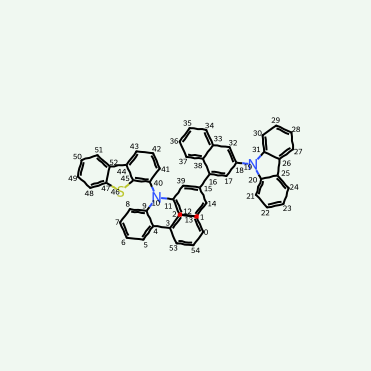 c1ccc(-c2ccccc2N(c2cccc(-c3cc(-n4c5ccccc5c5ccccc54)cc4ccccc34)c2)c2cccc3c2sc2ccccc23)cc1